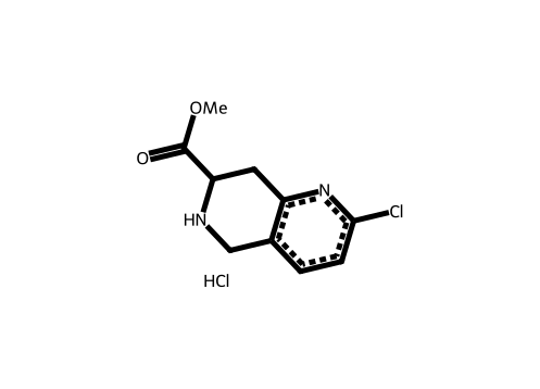 COC(=O)C1Cc2nc(Cl)ccc2CN1.Cl